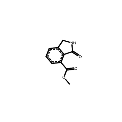 COC(=O)c1cccc2c1C(=O)NC2